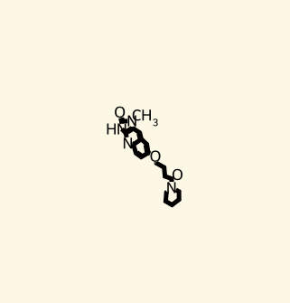 Cn1c(=O)[nH]c2nc3ccc(OCCCC(=O)N4CCCCC4)cc3cc21